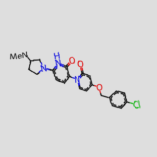 CNC1CCN(c2ccc(-n3ccc(OCc4ccc(Cl)cc4)cc3=O)c(=O)[nH]2)C1